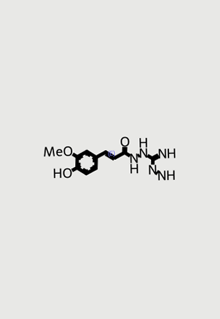 COc1cc(/C=C/C(=O)NNC(=N)N=N)ccc1O